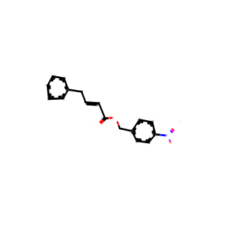 O=C(C=CCc1ccccc1)OCc1ccc([N+](=O)[O-])cc1